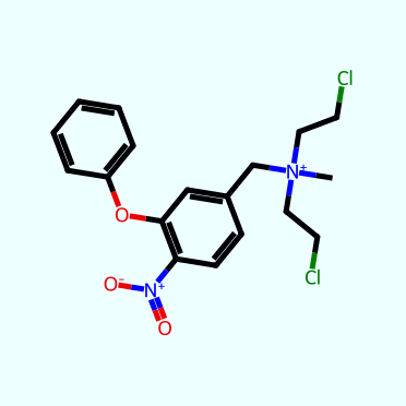 C[N+](CCCl)(CCCl)Cc1ccc([N+](=O)[O-])c(Oc2ccccc2)c1